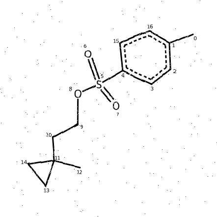 Cc1ccc(S(=O)(=O)OCCC2(C)CC2)cc1